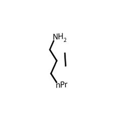 CC.CCCCCCN